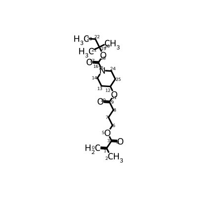 C=C(C)C(=O)OCCCC(=O)OC1CCN(C(=O)OC(C)(C)CC)CC1